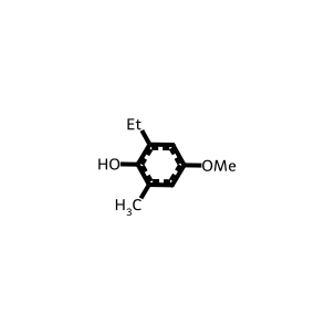 CCc1cc(OC)cc(C)c1O